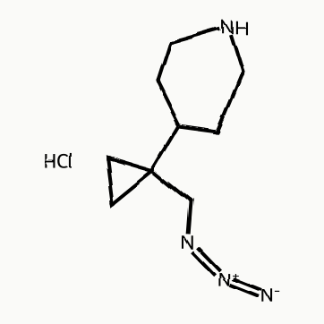 Cl.[N-]=[N+]=NCC1(C2CCNCC2)CC1